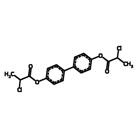 CC(Cl)C(=O)Oc1ccc(-c2ccc(OC(=O)C(C)Cl)cc2)cc1